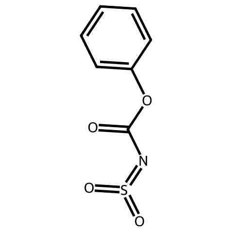 O=C(N=S(=O)=O)Oc1ccccc1